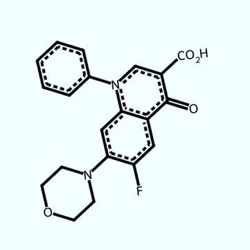 O=C(O)c1cn(-c2ccccc2)c2cc(N3CCOCC3)c(F)cc2c1=O